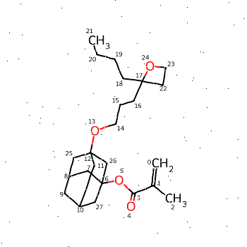 C=C(C)C(=O)OC12CC3CC(CC(OCCCC4(CCCC)CCO4)(C3)C1)C2